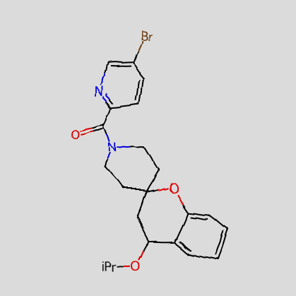 CC(C)OC1CC2(CCN(C(=O)c3ccc(Br)cn3)CC2)Oc2ccccc21